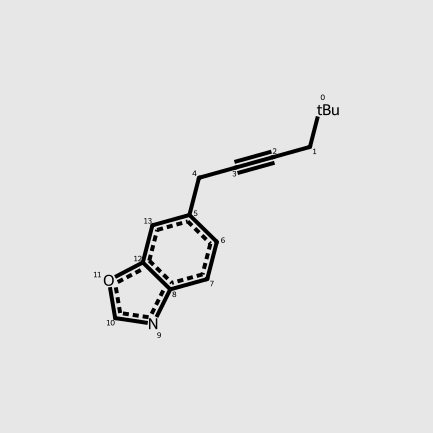 CC(C)(C)CC#CCc1ccc2ncoc2c1